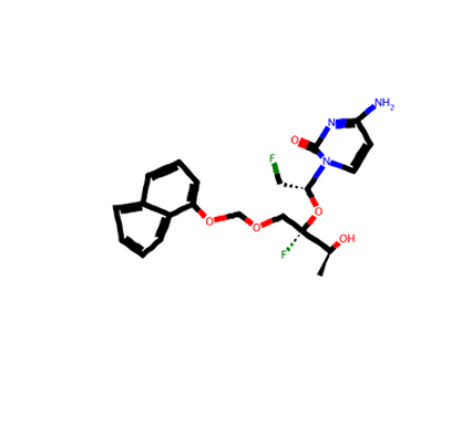 C[C@H](O)[C@@](F)(COCOc1cccc2ccccc12)O[C@H](CF)n1ccc(N)nc1=O